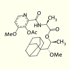 COc1ccnc(C(=O)N[C@@H](C)C(=O)O[C@@H](C)[C@H](OC)C23CC4CC(CC(C4)C2)C3)c1OC(C)=O